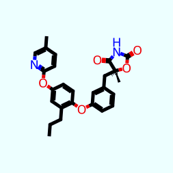 CCCc1cc(Oc2ccc(C)cn2)ccc1Oc1cccc(C[C@@]2(C)OC(=O)NC2=O)c1